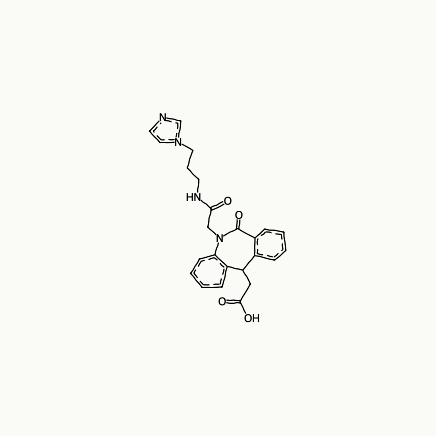 O=C(O)CC1c2ccccc2C(=O)N(CC(=O)NCCCn2ccnc2)c2ccccc21